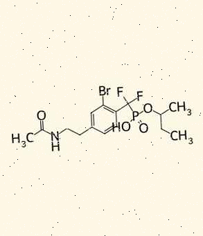 CCC(C)OP(=O)(O)C(F)(F)c1ccc(CCNC(C)=O)cc1Br